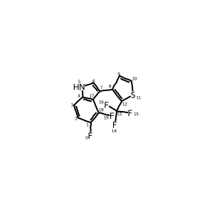 Fc1ccc2[nH]cc(-c3ccsc3C(F)(F)F)c2c1F